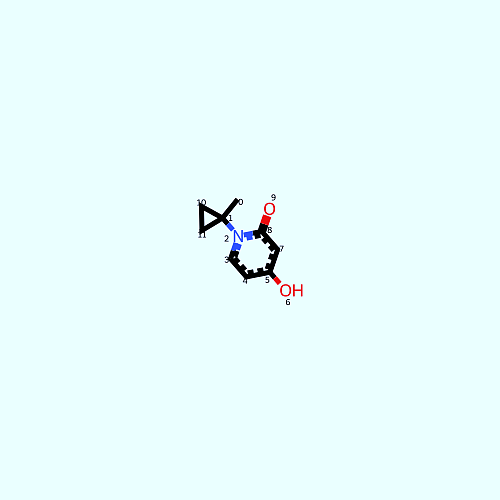 CC1(n2ccc(O)cc2=O)CC1